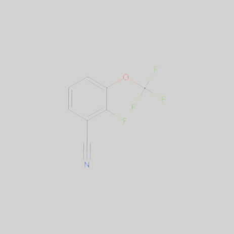 N#Cc1cccc(OC(F)(F)F)c1F